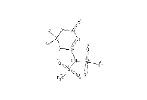 CC1(C)CC(=O)C=C(N(S(=O)(=O)C(F)(F)F)S(=O)(=O)C(F)(F)F)C1